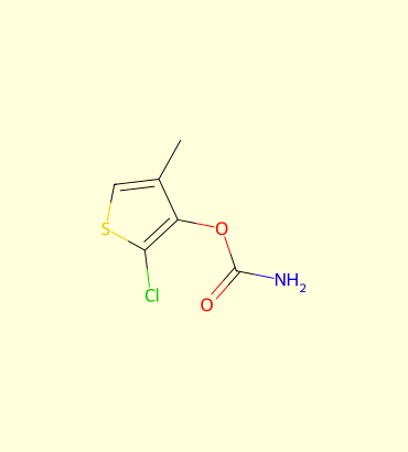 Cc1csc(Cl)c1OC(N)=O